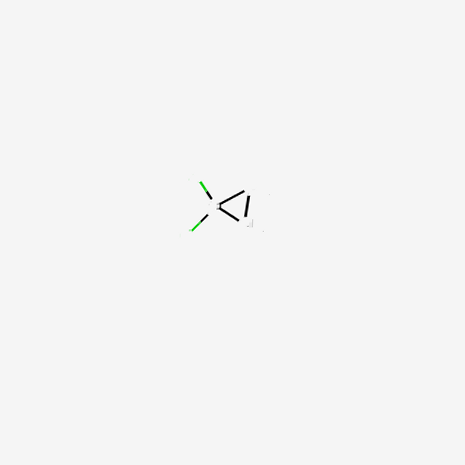 Cl[Si]1(Cl)[SiH2][SiH2]1